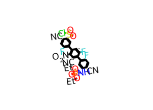 CCOP(=O)(Nc1cc(-c2c(F)[c]c(-c3cc(S(=O)(=O)Cl)c(C#N)cc3F)c([N+](=O)[O-])c2C#N)c(F)cc1C#N)OCC